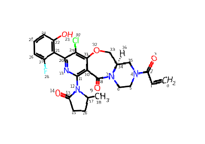 C=CC(=O)N1CCN2C(=O)c3c(N4C(=O)CCC4C)nc(-c4c(O)cccc4F)c(Cl)c3OC[C@H]2C1